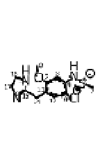 COc1cc(NS(C)(=O)=O)c(Cl)cc1CC1=NCCN1